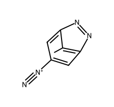 Cc1c2cc([N+]#N)cc1N=N2